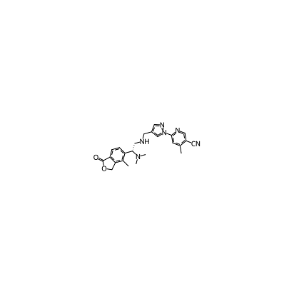 Cc1cc(-n2cc(CNC[C@@H](c3ccc4c(c3C)COC4=O)N(C)C)cn2)ncc1C#N